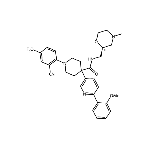 COc1ccccc1-c1ccc(C2(C(=O)NC[C@@H]3CN(C)CCO3)CCN(c3ccc(C(F)(F)F)cc3C#N)CC2)cn1